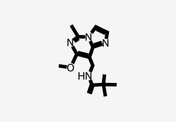 C=C(NCc1c(OC)nc(C)n2ccnc12)C(C)(C)C